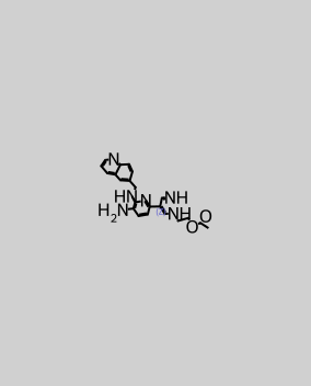 CC(=O)OCCN/C=C(\C=N)c1ccc(N)c(NCc2ccc3ncccc3c2)n1